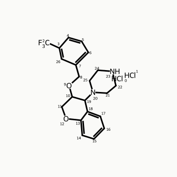 Cl.Cl.FC(F)(F)c1cccc(COC2COc3ccccc3C2N2CCNCC2)c1